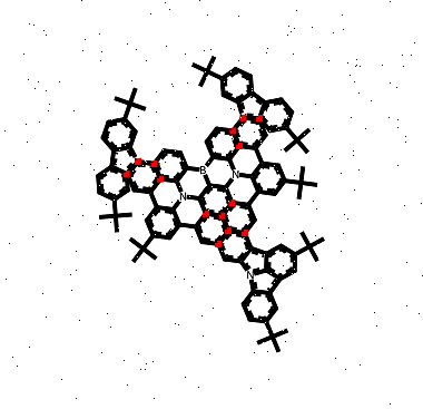 CC(C)(C)c1cc(-c2ccccc2)c(N2c3cc(-n4c5cc(C(C)(C)C)ccc5c5ccc(C(C)(C)C)cc54)ccc3B3c4ccc(-n5c6cc(C(C)(C)C)ccc6c6ccc(C(C)(C)C)cc65)cc4N(c4c(-c5ccccc5)cc(C(C)(C)C)cc4-c4ccccc4)c4cc(-c5ccc6c(c5)c5cc(C(C)(C)C)cc7c8cc(C(C)(C)C)ccc8n6c57)cc2c43)c(-c2ccccc2)c1